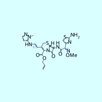 C=CCOC(=O)C1=C(/C=C/Nc2ccnn2C)CS[C@@H]2[C@H](NC(=O)/C(=N\OC)c3csc(N)n3)C(=O)N12